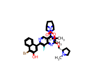 CN1CCC[C@H]1COc1nc(N2CC3CCC(C2)N3C(=O)OC(C)(C)C)c2cnc(-c3cc(O)c(Br)c4ccccc34)c(F)c2n1